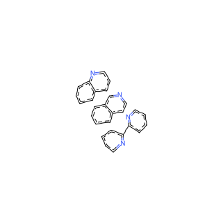 c1ccc(-c2ccccn2)nc1.c1ccc2cnccc2c1.c1ccc2ncccc2c1